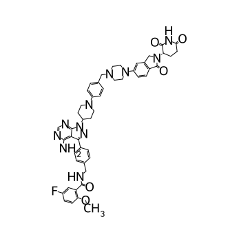 COc1ccc(F)cc1C(=O)NCc1ccc(-c2nn(C3CCN(c4ccc(CN5CCN(c6ccc7c(c6)CN([C@H]6CCC(=O)NC6=O)C7=O)CC5)cc4)CC3)c3ncnc(N)c23)cc1